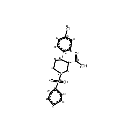 O=C(O)[C@@H]1CN(S(=O)(=O)c2ccccc2)CC[C@@H]1c1ccc(Cl)cc1